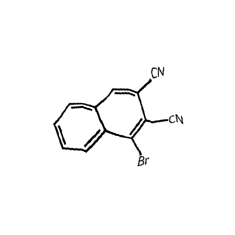 N#Cc1cc2ccccc2c(Br)c1C#N